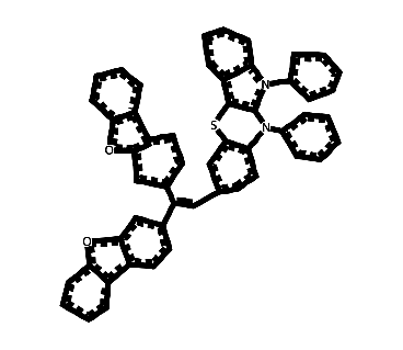 C(=C(c1ccc2c(c1)oc1ccccc12)c1ccc2c(c1)oc1ccccc12)c1ccc2c(c1)Sc1c(n(-c3ccccc3)c3ccccc13)N2c1ccccc1